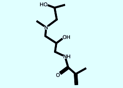 C=C(C)C(=O)NCC(O)CN(C)CC(C)O